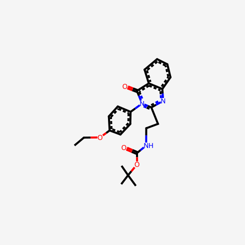 CCOc1ccc(-n2c(CCNC(=O)OC(C)(C)C)nc3ccccc3c2=O)cc1